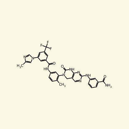 Cc1cn(-c2cc(C(=O)Nc3ccc(C)c(N4Cc5cnc(Nc6cccc(C(N)=O)c6)nc5NC4=O)c3)cc(C(F)(F)F)c2)cn1